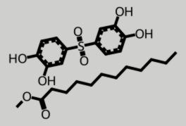 CCCCCCCCCCCC(=O)OC.O=S(=O)(c1ccc(O)c(O)c1)c1ccc(O)c(O)c1